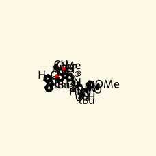 C=C/C(=C(\N=C/C)[C@H](C)OC)c1c(CC(C)(C)O[Si](c2ccccc2)(c2ccccc2)C(C)(C)C)c2cc(-c3nc(C[C@H](NC(=O)OC(C)(C)C)C(=O)N4CCC[C@@H](C(=O)OC)N4)ns3)ccc2n1CC(F)(F)F